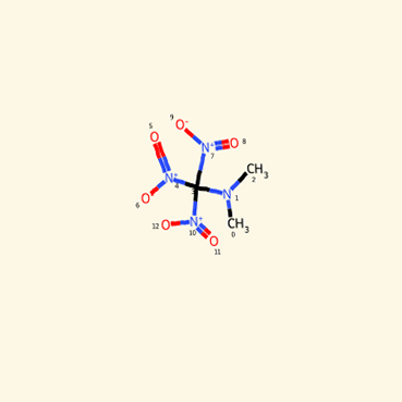 CN(C)C([N+](=O)[O-])([N+](=O)[O-])[N+](=O)[O-]